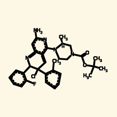 Cc1ccccc1C1(Cl)C=c2c(N3CCN(C(=O)OC(C)(C)C)C[C@@H]3C)nc(N)cc2=NC1c1ccccc1F